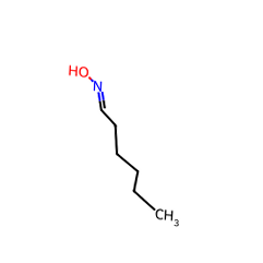 CCCCC/C=N/O